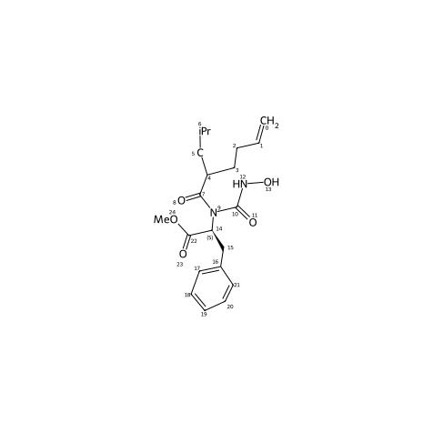 C=CCCC(CC(C)C)C(=O)N(C(=O)NO)[C@@H](Cc1ccccc1)C(=O)OC